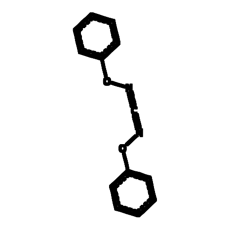 C(=NOc1ccccc1)=NOc1ccccc1